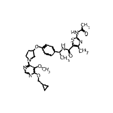 COc1c(OCC2CC2)ncnc1N1CCC(Oc2ccc([C@H](C)NC(=O)c3sc(NC(C)=O)nc3C)cc2)C1